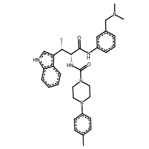 Cc1ccc(N2CCN(C(=O)N[C@@H](C(=O)Nc3cccc(CN(C)C)c3)[C@@H](C)c3c[nH]c4ccccc34)CC2)cc1